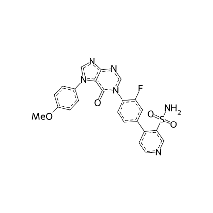 COc1ccc(-n2cnc3ncn(-c4ccc(-c5ccncc5S(N)(=O)=O)cc4F)c(=O)c32)cc1